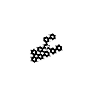 c1ccc(-c2cccc(-c3cc(-c4ccccc4-c4ccccc4-c4ccc5c6ccccc6c6ccccc6c5c4)nc(-c4cccc(-c5ccccc5)c4)n3)c2)cc1